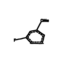 COc1c[c][c]c(F)c1